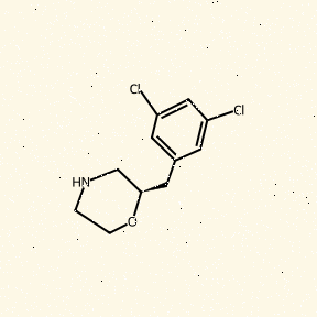 Clc1cc(Cl)cc(C[C@@H]2CNCCO2)c1